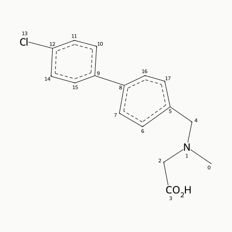 CN(CC(=O)O)Cc1ccc(-c2ccc(Cl)cc2)cc1